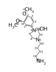 COc1ccc(N2CCN(CCCCN)CC2)cc1OC.Cl